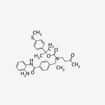 CSc1ccc(C(C)(C)OC(=O)N(CCC(C)=O)[C@H](C)c2ccc(C(=O)Nc3ccccc3N)cc2)cc1